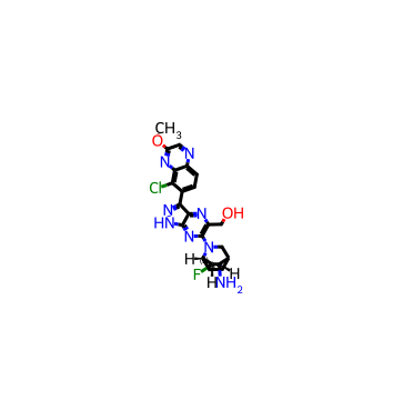 COc1cnc2ccc(-c3n[nH]c4nc(N5CC6CC[C@H]5[C@@H](F)[C@H]6N)c(CO)nc34)c(Cl)c2n1